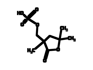 CC1(C)CC(C)(COS(=O)(=O)O)C(=O)O1